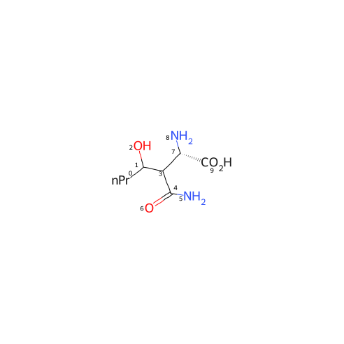 CCCC(O)C(C(N)=O)[C@H](N)C(=O)O